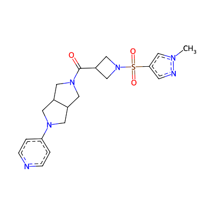 Cn1cc(S(=O)(=O)N2CC(C(=O)N3CC4CN(c5ccncc5)CC4C3)C2)cn1